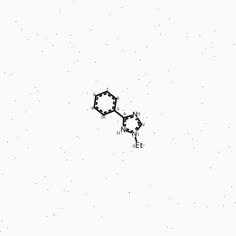 C[CH]n1cnc(-c2ccccc2)n1